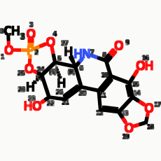 COP1(=O)O[C@H]2[C@@H]3NC(=O)c4c(cc5c(c4O)OCO5)C3=CC(O)[C@H]2O1